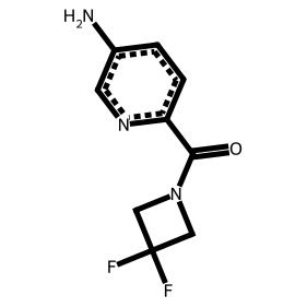 Nc1ccc(C(=O)N2CC(F)(F)C2)nc1